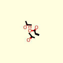 C=CC(=O)O.CC(C)=O.CC(C)=O